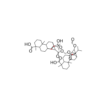 CC(C)C1=CC23CCC4C(C)(C(=O)O)CCCC4(C)C2CC1C1(C(=O)OCOC(=O)C2C4C56C=C(C(C)C)C(CC5C5(C)CCCC(C)(C(=O)O)C5CC6)C24C(=O)O)C(OC=O)C31